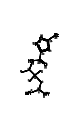 CCCN(CCC)CC(C)(C)C(C)NC(=O)c1cc(CC)on1